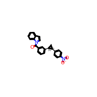 O=C(c1cccc([C@H]2C[C@H]2c2ccc([N+](=O)[O-])cc2)c1)n1ccc2ccccc21